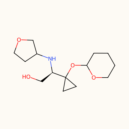 OC[C@@H](NC1CCOC1)C1(OC2CCCCO2)CC1